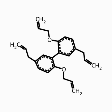 C=CCOc1ccc(CC=C)cc1-c1cc(CC=C)ccc1OCC=C